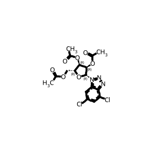 CC(=O)OC[C@H]1O[C@@H](n2nnc3c(Cl)cc(Cl)cc32)[C@H](OC(C)=O)[C@@H]1OC(C)=O